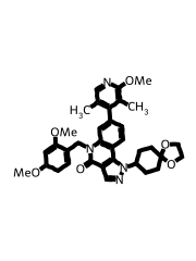 COC1=CC(OC)CC=C1Cn1c(=O)c2cnn(C3CCC4(CC3)OCCO4)c2c2ccc(-c3c(C)cnc(OC)c3C)cc21